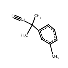 [C-]#[N+]C(C)(C)c1cccc(C)c1